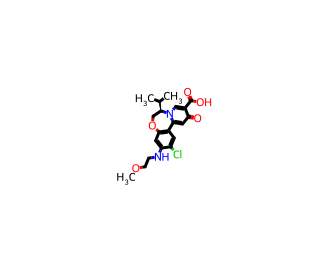 COCCNc1cc2c(cc1Cl)-c1cc(=O)c(C(=O)O)cn1[C@H](C(C)C)CO2